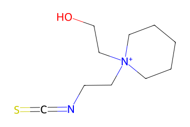 OCC[N+]1(CCN=C=S)CCCCC1